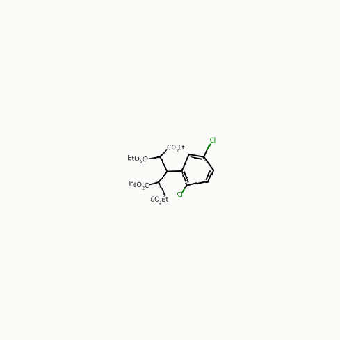 CCOC(=O)C(C(=O)OCC)C(c1cc(Cl)ccc1Cl)C(C(=O)OCC)C(=O)OCC